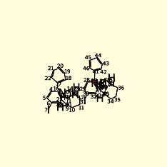 O[C@@]1(c2cccc(I)c2)[C@@H]2CCC[C@H]1CN(Cc1ccccc1)C2.O[C@]1(c2cccc(I)c2)[C@@H]2CCC[C@H]1CN(Cc1ccccc1)C2